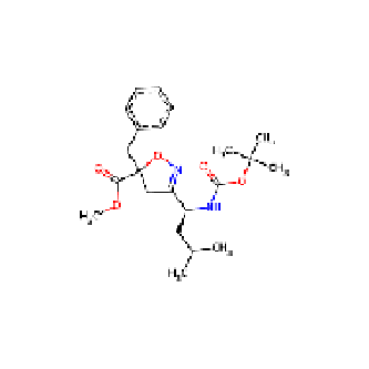 COC(=O)C1(Cc2ccccc2)CC([C@H](CC(C)C)NC(=O)OC(C)(C)C)=NO1